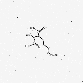 CCCCCCCCCCCCCCC(C(N)=O)C(CCCC)C(N)=O